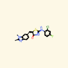 Cc1nc2ccc(C=C3SC(Nc4ccc(F)cc4Cl)=NC3=O)cc2n1C